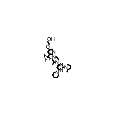 CC1CN(c2ncc(OCCO)cc2C(F)(F)F)CCN1c1cc(N2CCCCC2)nc(N2CCCC2C)n1